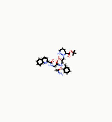 CC(C)(C)OC(=O)C1CCCNN1C[C@H](O)[C@H](Cc1ccccc1)NC(=O)[C@H](CC(N)=O)NC(=O)c1ccc2ccccc2n1